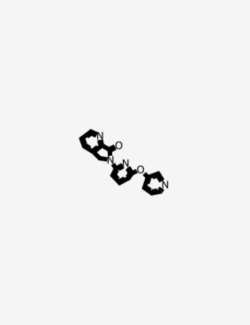 O=C1c2ncccc2CN1c1cccc(Oc2cccnc2)n1